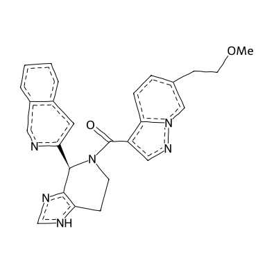 COCCc1ccc2c(C(=O)N3CCc4[nH]cnc4[C@H]3c3cc4ccccc4cn3)cnn2c1